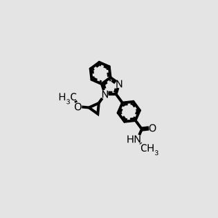 CNC(=O)c1ccc(-c2nc3ccccc3n2C2CC2OC)cc1